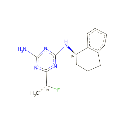 C[C@@H](F)c1nc(N)nc(N[C@@H]2CCCc3ccccc32)n1